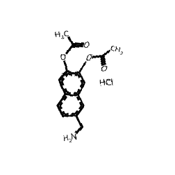 CC(=O)Oc1cc2ccc(CN)cc2cc1OC(C)=O.Cl